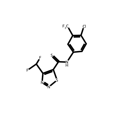 FC(F)c1nnsc1C(=S)Nc1ccc(Cl)c(C(F)(F)F)c1